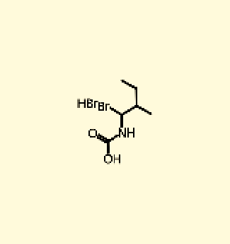 Br.CCC(C)C(Br)NC(=O)O